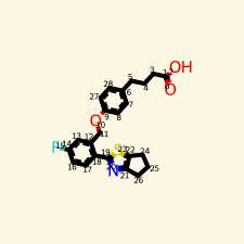 O=C(O)CCCc1ccc(OCc2cc(F)ccc2-c2nc3c(s2)CCC3)cc1